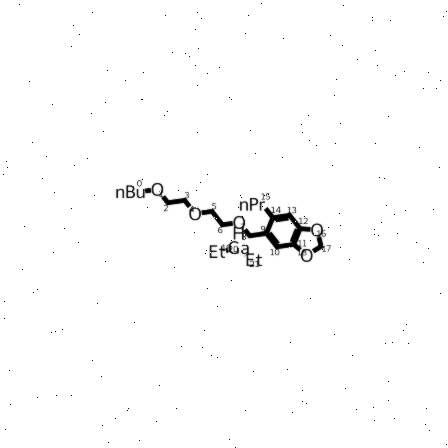 CCCCOCCOCCOCc1cc2c(cc1CCC)OCO2.C[CH2][GaH][CH2]C